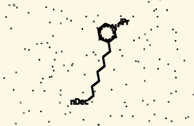 CCCCCCCCCCCCCCCCCc1ccc[n+](C(C)C)c1